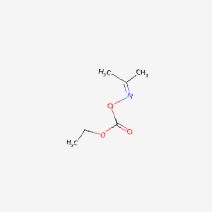 CCOC(=O)ON=C(C)C